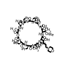 CO[C@H](C)C1NC(=O)C([C@H](O)[C@H](C)CCN2CCOCC2)N(C)C(=O)C(C(C)C)N(C)C(=O)[C@@H](CC(C)C)NC(=O)[C@@H](CC(C)C)N(C)C(=O)OC(=O)[C@@H](C)N[C@@H](CC(C)C)N(C)[C@@H](CC(C)C)NC(=O)[C@H](CC(C)C)N(C)C(=O)CN(C)C1=O